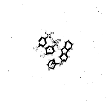 Cc1ccc(S(=O)(=O)O)cc1.Cc1ccc(S(=O)(=O)O)cc1.c1ccc2c(c1)Cc1cc(NC3CN4CCC3CC4)ccc1-2